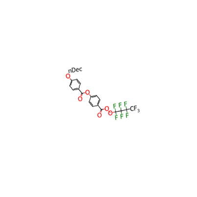 CCCCCCCCCCOc1ccc(C(=O)Oc2ccc(C(=O)OOC(F)(F)C(F)(F)C(F)(F)C(F)(F)F)cc2)cc1